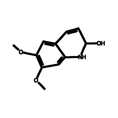 COc1cc2c(cc1OC)NC(O)C=C2